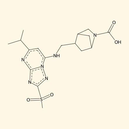 CC(C)c1cc(NCC2CC3CC2CN3C(=O)O)n2nc(S(C)(=O)=O)nc2n1